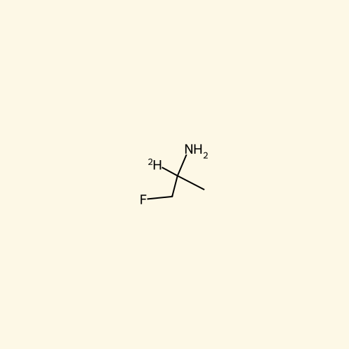 [2H]C(C)(N)CF